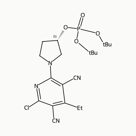 CCc1c(C#N)c(Cl)nc(N2CC[C@H](OP(=O)(OC(C)(C)C)OC(C)(C)C)C2)c1C#N